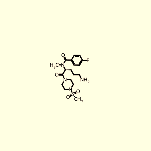 CN(C(=O)c1ccc(F)cc1)[C@@H](CCCN)C(=O)N1CCN(S(C)(=O)=O)CC1